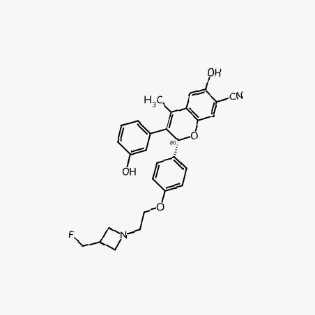 CC1=C(c2cccc(O)c2)[C@@H](c2ccc(OCCN3CC(CF)C3)cc2)Oc2cc(C#N)c(O)cc21